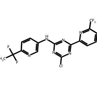 CC(F)(F)c1ccc(Nc2nc(Cl)nc(-c3cccc(C(F)(F)F)n3)n2)cn1